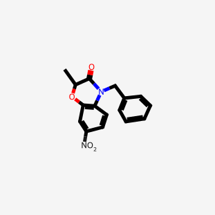 CC1Oc2cc([N+](=O)[O-])ccc2N(Cc2ccccc2)C1=O